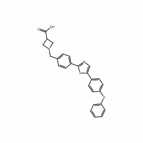 O=C(O)C1CN(Cc2ccc(-c3ncc(-c4ccc(Oc5ccccc5)cc4)s3)cc2)C1